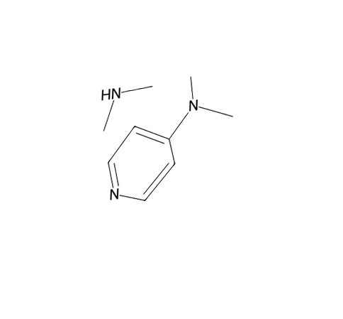 CN(C)c1ccncc1.CNC